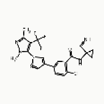 Cc1nn(C)c(-n2cc(-c3ccc(Cl)c(C(=O)NC4(C=N)CC4)c3)cn2)c1C(F)(F)F